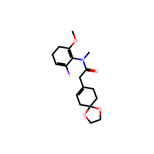 COC1=C(N(C)C(=O)CC2=CCC3(CC2)OCCO3)C(I)=CCC1